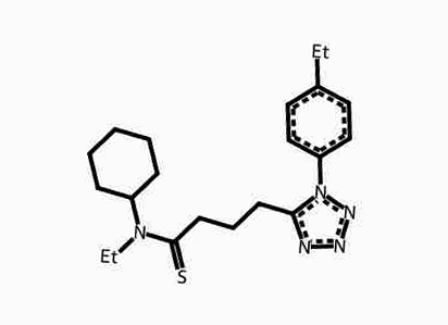 CCc1ccc(-n2nnnc2CCCC(=S)N(CC)C2CCCCC2)cc1